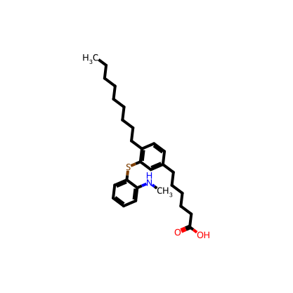 CCCCCCCCCc1ccc(CCCCCC(=O)O)cc1Sc1ccccc1NC